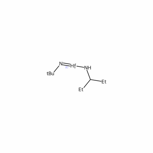 CCC(CC)[NH]/[Hf]=[N]/C(C)(C)C